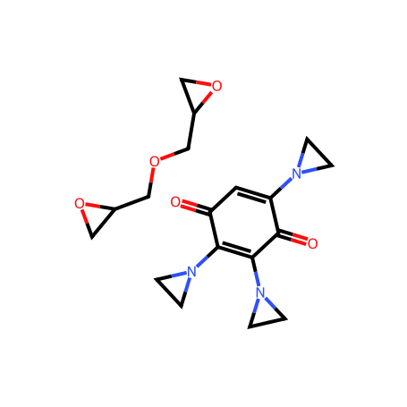 C(OCC1CO1)C1CO1.O=C1C=C(N2CC2)C(=O)C(N2CC2)=C1N1CC1